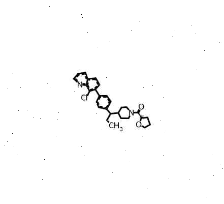 CCC(c1ccc(-c2ccc3cccnc3c2Cl)cc1)C1CCN(C(=O)[C@H]2CCCO2)CC1